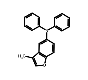 Cc1coc2ccc(N(c3ccccc3)c3ccccc3)cc12